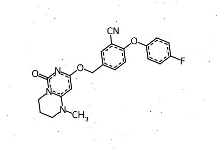 CN1CCCn2c1cc(OCc1ccc(Oc3ccc(F)cc3)c(C#N)c1)nc2=O